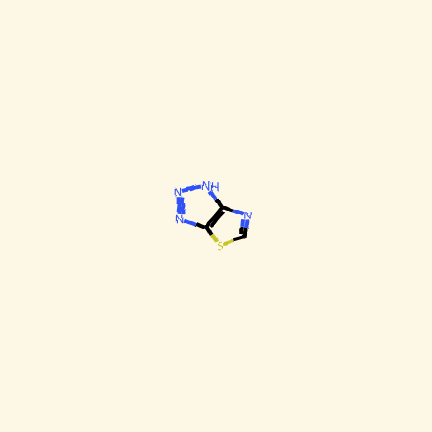 c1nc2[nH]nnc2s1